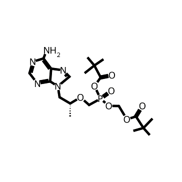 C[C@H](Cn1cnc2c(N)ncnc21)OCP(=O)(OCOC(=O)C(C)(C)C)OC(=O)C(C)(C)C